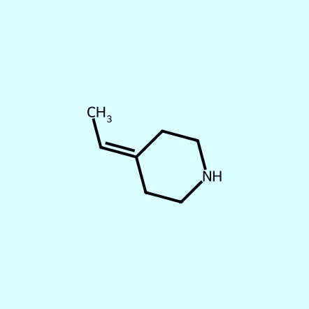 CC=C1CCNCC1